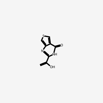 C=C(O)c1nc2cscc2c(=O)[nH]1